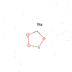 C1OOSO1.[Na]